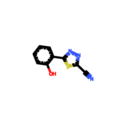 N#Cc1nnc(-c2ccccc2O)s1